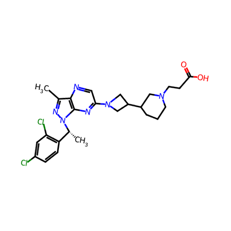 Cc1nn([C@H](C)c2ccc(Cl)cc2Cl)c2nc(N3CC(C4CCCN(CCC(=O)O)C4)C3)cnc12